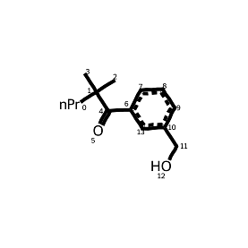 CCCC(C)(C)C(=O)c1cccc(CO)c1